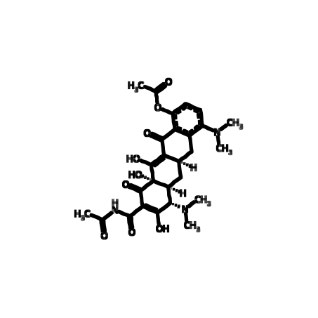 CC(=O)NC(=O)C1=C(O)[C@@H](N(C)C)[C@@H]2C[C@@H]3Cc4c(N(C)C)ccc(OC(C)=O)c4C(=O)C3=C(O)[C@]2(O)C1=O